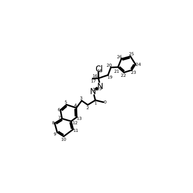 CC(CCc1ccc2ccccc2c1)/N=N/C(C)(Cl)CCc1ccccc1